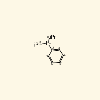 CC(C)P(c1cc[c]cc1)C(C)C